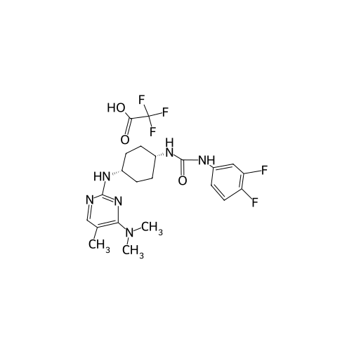 Cc1cnc(N[C@H]2CC[C@@H](NC(=O)Nc3ccc(F)c(F)c3)CC2)nc1N(C)C.O=C(O)C(F)(F)F